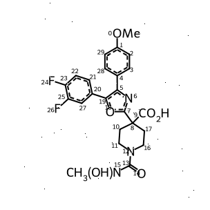 COc1ccc(-c2nc(C3(C(=O)O)CCN(C(=O)N(C)O)CC3)oc2-c2ccc(F)c(F)c2)cc1